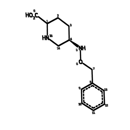 O=C(O)C1CC[C@@H](NOCc2ccccc2)CN1